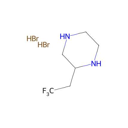 Br.Br.FC(F)(F)CC1CNCCN1